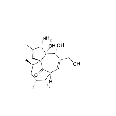 CC1=C[C@]23C(=O)[C@@H](C=C(CO)[C@@H](O)[C@]2(O)[C@H]1N)[C@H](C)[C@H](C)C[C@H]3C